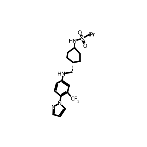 CC(C)S(=O)(=O)N[C@H]1CC[C@H](CNc2ccc(-n3cccn3)c(C(F)(F)F)c2)CC1